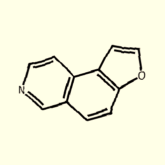 c1cc2c(ccc3occc32)cn1